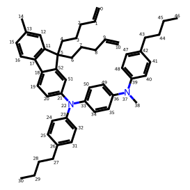 C=CCCCC1(CCCC=C)c2cc(C)ccc2-c2ccc(N(c3ccc(CCCC)cc3)c3ccc(N(C)c4ccc(CCCC)cc4)cc3)cc21